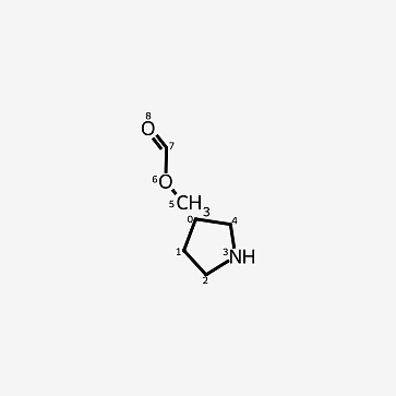 C1CCNC1.COC=O